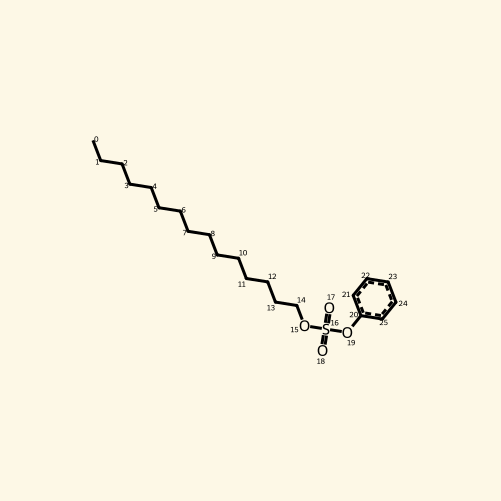 CCCCCCCCCCCCCCCOS(=O)(=O)Oc1ccccc1